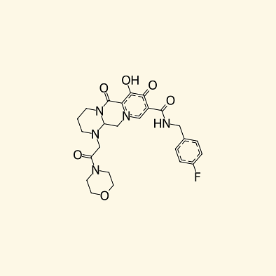 O=C(NCc1ccc(F)cc1)c1cn2c(c(O)c1=O)C(=O)N1CCCN(CC(=O)N3CCOCC3)C1C2